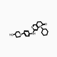 O=C1CCc2cnc(Nc3ccc(N4CCC(O)CC4)cc3)cc2N1C1CCCCC1